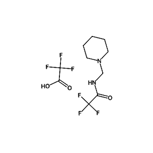 O=C(NCN1CCCCC1)C(F)(F)F.O=C(O)C(F)(F)F